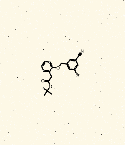 CC(C)(C)OC(=O)Cc1ccccc1OCc1cc(Br)cc(C#N)c1